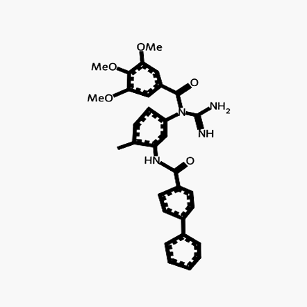 COc1cc(C(=O)N(C(=N)N)c2ccc(C)c(NC(=O)c3ccc(-c4ccccc4)cc3)c2)cc(OC)c1OC